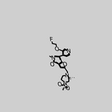 C[C@@H]1CN(S(C)(=O)=O)CCN1Cc1cc2c(=O)n(C)cc(-c3ccncc3OCCF)c2o1